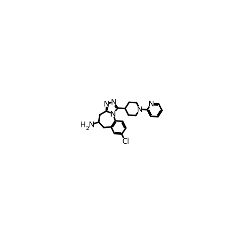 NC1Cc2cc(Cl)ccc2-n2c(nnc2C2CCN(c3ccccn3)CC2)C1